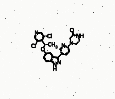 C[C@@H](Oc1ccc2[nH]nc(-c3ccc(N4CCNC(=O)C4)nc3)c2c1)c1c(Cl)cncc1Cl